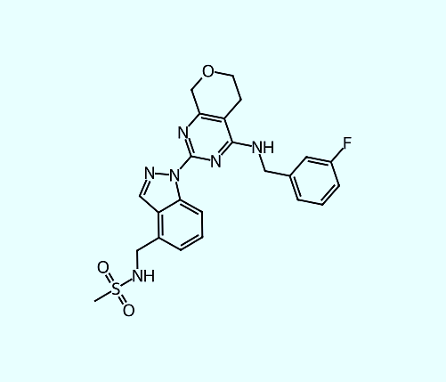 CS(=O)(=O)NCc1cccc2c1cnn2-c1nc2c(c(NCc3cccc(F)c3)n1)CCOC2